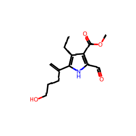 C=C(CCCO)c1[nH]c(C=O)c(C(=O)OC)c1CC